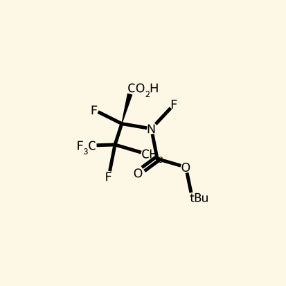 CC(C)(C)OC(=O)N(F)[C@](F)(C(=O)O)C(C)(F)C(F)(F)F